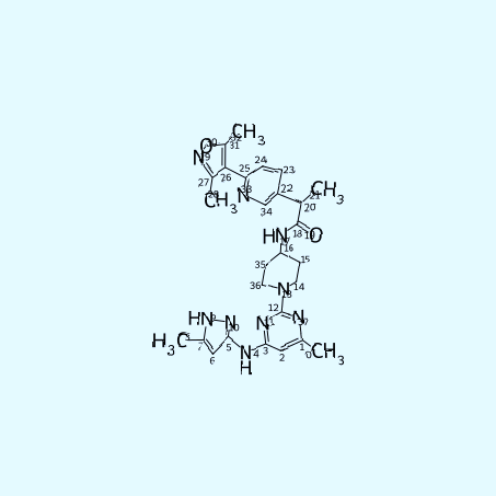 Cc1cc(Nc2cc(C)[nH]n2)nc(N2CCC(NC(=O)C(C)c3ccc(-c4c(C)noc4C)nc3)CC2)n1